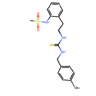 CC(C)(C)c1ccc(CNC(=S)NCCc2ccccc2NS(C)(=O)=O)cc1